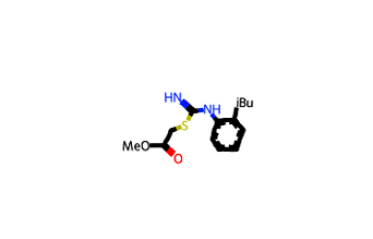 CCC(C)c1ccccc1NC(=N)SCC(=O)OC